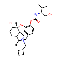 CC(C)C(CO)NC(=O)Oc1ccc2c3c1O[C@H]1[C@@H](O)CCC4[C@@H](C2)N(CC2CCC2)CC[C@@]341